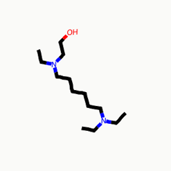 CCN(CC)CCCCCCN(CC)CCO